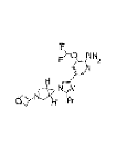 CC(C)c1nc(-c2cnc(N)c(OC(F)F)c2)cn1[C@@H]1[C@@H]2CN(C3COC3)C[C@@H]21